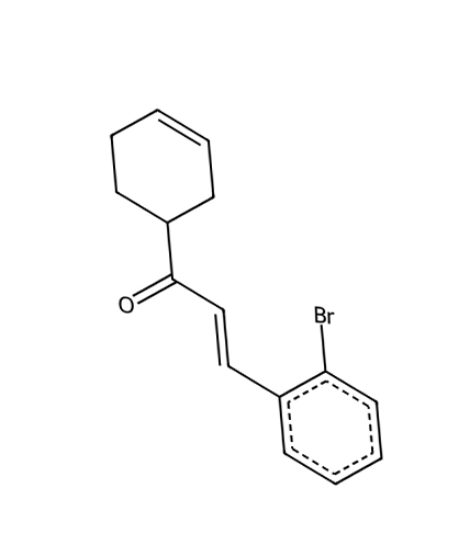 O=C(C=Cc1ccccc1Br)C1CC=CCC1